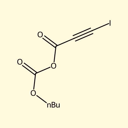 CCCCOC(=O)OC(=O)C#CI